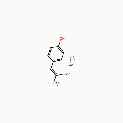 CCCN.CO/C(=C\c1ccc(O)cc1)C(=O)O